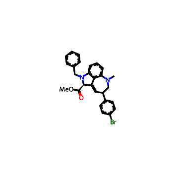 COC(=O)[C@@H]1C2=CC(c3ccc(Br)cc3)CN(C)c3cccc(c32)N1Cc1ccccc1